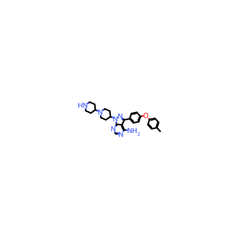 Cc1ccc(Oc2ccc(-c3nn(C4CCN(C5CCNCC5)CC4)c4ncnc(N)c34)cc2)cc1